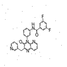 O=C(Nc1cccc(-n2c(=O)c(Cc3cccnc3)nc3cccnc32)c1)c1cc(F)cc(F)c1